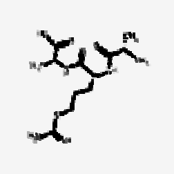 C[C@H](N)C(=O)N[C@@H](CCCNC(=N)N)C(=O)N[C@@H](C)C(=O)O